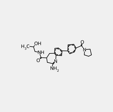 CC(O)CNC(=O)C1CC(N)=Nc2cc(-c3ccc(C(=O)N4CCCC4)cc3)ccc2C1